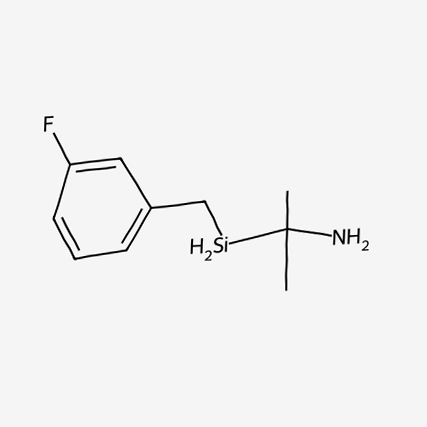 CC(C)(N)[SiH2]Cc1cccc(F)c1